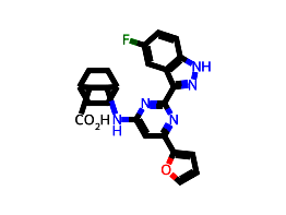 O=C(O)C1C2CCC(CC2)C1Nc1cc(-c2ccco2)nc(-c2n[nH]c3ccc(F)cc23)n1